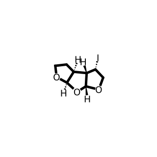 I[C@@H]1CO[C@@H]2O[C@H]3OCC[C@H]3[C@@H]21